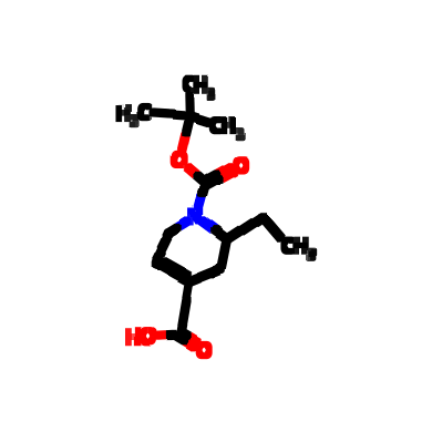 CCC1CC(C(=O)O)=CCN1C(=O)OC(C)(C)C